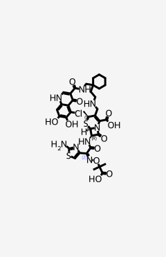 C[C@@H]1S[C@@H]2[C@H](NC(=O)/C(=N\OC(C)(C)C(=O)O)c3csc(N)n3)C(=O)N2C(C(=O)O)=C1CNCCC1(CNC(=O)c2c[nH]c3cc(O)c(O)c(Cl)c3c2=O)CCCCC1